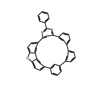 c1ccc(-c2nc3nc(n2)c2ccc4oc5ccc(cc5c4c2)c2cccc(c2)c2cccc(c2)c2cccc3c2)cc1